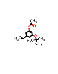 C=[C]c1cc(OC(C)=O)cc(OC(C)(C)C)c1